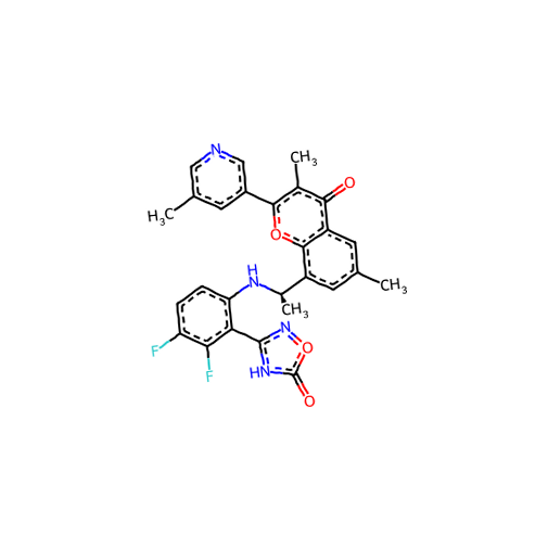 Cc1cncc(-c2oc3c([C@@H](C)Nc4ccc(F)c(F)c4-c4noc(=O)[nH]4)cc(C)cc3c(=O)c2C)c1